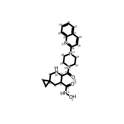 O=C(NO)C1CC2(CC2)CNC1C(=O)N1CCN(c2ccc3ccccc3n2)CC1